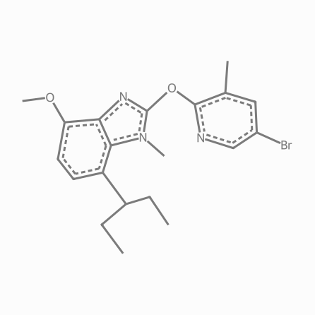 CCC(CC)c1ccc(OC)c2nc(Oc3ncc(Br)cc3C)n(C)c12